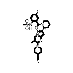 Cc1cn2nc([C@@H]3CCCCN3C(=O)c3cc(Cl)ccc3NS(C)(=O)=O)cc2nc1N1CCC(C#N)CC1